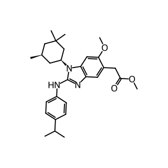 COC(=O)Cc1cc2nc(Nc3ccc(C(C)C)cc3)n([C@H]3C[C@@H](C)CC(C)(C)C3)c2cc1OC